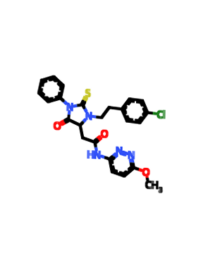 COc1ccc(NC(=O)CC2C(=O)N(c3ccccc3)C(=S)N2CCc2ccc(Cl)cc2)nn1